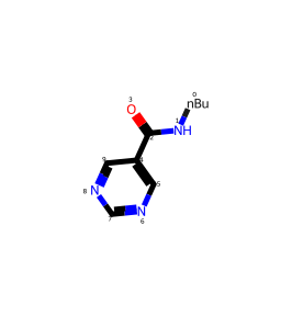 CCCCNC(=O)c1cncnc1